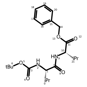 CC(C)[C@H](NC(=O)OC(C)(C)C)C(=O)N[C@H](C(=O)OCc1ccccc1)C(C)C